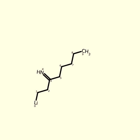 [Li][CH2]CC(=N)CCCCC